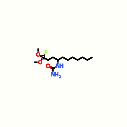 CCCCCCCC(CC[Si](F)(OC)OC)NC(N)=O